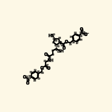 O=C(CCC(S)[C@@H]1C[C@H](S)CN1C(=O)OCc1ccc([N+](=O)[O-])cc1)NCC(=O)OCc1ccc([N+](=O)[O-])cc1